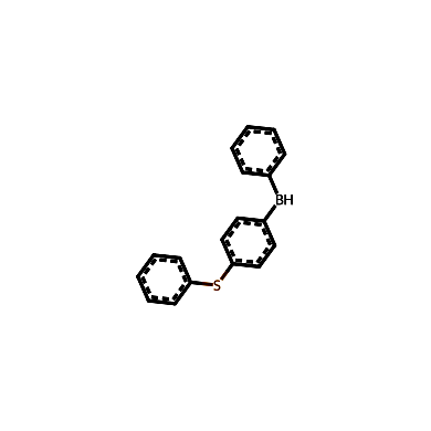 B(c1ccccc1)c1ccc(Sc2ccccc2)cc1